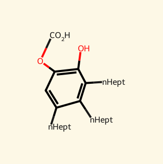 CCCCCCCc1cc(OC(=O)O)c(O)c(CCCCCCC)c1CCCCCCC